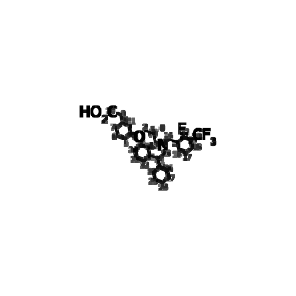 C[C@@H](COc1cccc(CC(=O)O)c1)CN(Cc1cccc(C(F)(F)F)c1F)CC(c1ccccc1)c1ccccc1